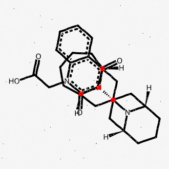 O=C(O)Cn1c(=O)n([C@H]2C[C@H]3CCC[C@@H](C2)N3C2C[C@H]3CCCC[C@@H](C2)C3)c(=O)c2ccccc21